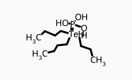 CCCC[TeH](CCCC)(CCCC)=P(O)(O)O